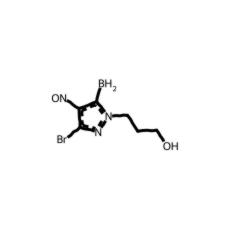 Bc1c(N=O)c(Br)nn1CCCO